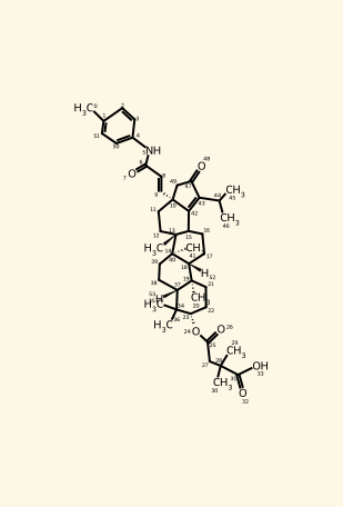 Cc1ccc(NC(=O)/C=C/[C@@]23CC[C@]4(C)C(CC[C@@H]5[C@@]6(C)CC[C@H](OC(=O)CC(C)(C)C(=O)O)C(C)(C)[C@@H]6CC[C@]54C)C2=C(C(C)C)C(=O)C3)cc1